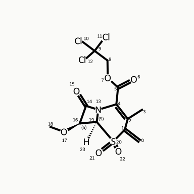 C=C1C(C)=C(C(=O)OCC(Cl)(Cl)Cl)N2C(=O)[C@H](OC)[C@@H]2S1(=O)=O